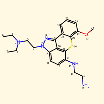 CCN(CC)CCn1nc2c3c(c(NCCN)ccc31)Sc1c(OC)cccc1-2